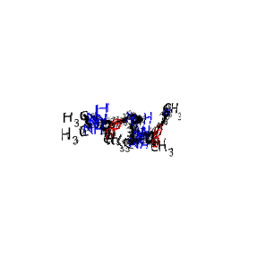 CNc1cc(C)nc(Nc2ccc(OC)c(OCCCN3CC4CC4C3Cc3cc(NC)nc(Nc4ccc(OC)c(OCCC5CN(C)C5)c4)n3)c2)n1